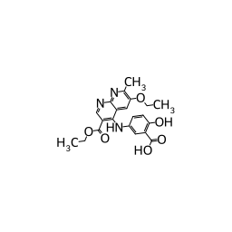 CCOC(=O)c1cnc2nc(C)c(OCC)cc2c1Nc1ccc(O)c(C(=O)O)c1